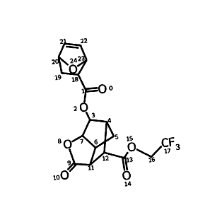 O=C(OC1C2CC3C1OC(=O)C3C2C(=O)OCC(F)(F)F)C1CC2C=CC1O2